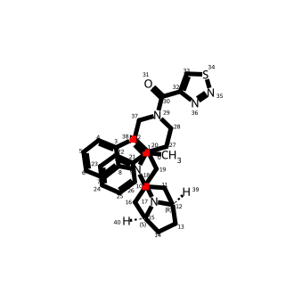 Cc1nc2ccccc2n1C1C[C@H]2CC[C@@H](C1)N2CCC1(c2ccccc2)CCN(C(=O)c2csnn2)CC1